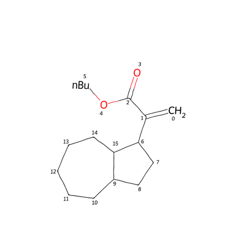 C=C(C(=O)OCCCC)C1CCC2CCCCCC21